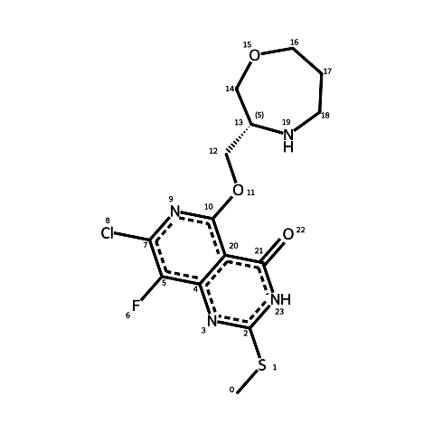 CSc1nc2c(F)c(Cl)nc(OC[C@@H]3COCCCN3)c2c(=O)[nH]1